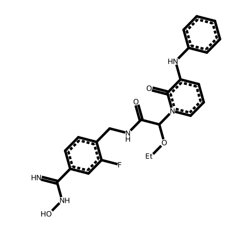 CCOC(C(=O)NCc1ccc(C(=N)NO)cc1F)n1cccc(Nc2ccccc2)c1=O